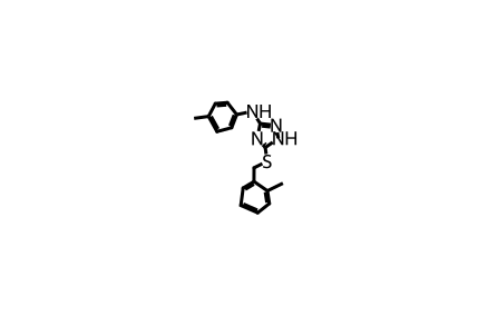 Cc1ccc(Nc2n[nH]c(SCc3ccccc3C)n2)cc1